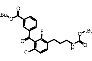 CC(C)(C)OC(=O)NCCCc1ccc(Cl)c(C(=O)c2cccc(C(=O)OC(C)(C)C)c2)c1F